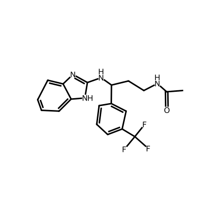 CC(=O)NCCC(Nc1nc2ccccc2[nH]1)c1cccc(C(F)(F)F)c1